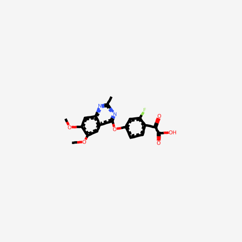 COc1cc2nc(C)nc(Oc3ccc(C(=O)C(=O)O)c(F)c3)c2cc1OC